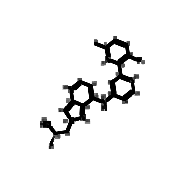 Cc1ccc(F)c(-c2cc(Nc3ccnc4cn(C[C@H](C)O)nc34)ccn2)n1